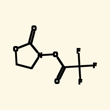 O=C1OCCN1OC(=O)C(F)(F)F